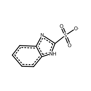 [O]S(=O)(=O)c1nc2ccccc2[nH]1